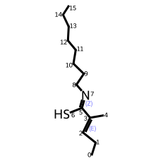 CC/C=C(C)/C(S)=N/CCCCCCCC